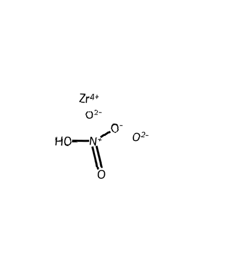 O=[N+]([O-])O.[O-2].[O-2].[Zr+4]